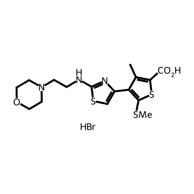 Br.CSc1sc(C(=O)O)c(C)c1-c1csc(NCCN2CCOCC2)n1